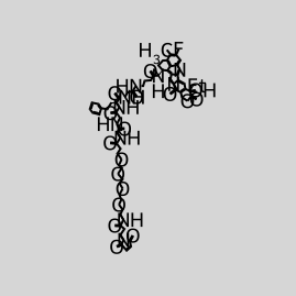 CC[C@@]1(O)C(=O)OCc2c1cc1n(c2=O)Cc2c-1nc1cc(F)c(C)c3c1c2[C@@H](NC(=O)CCCNC(=O)CNC(=O)[C@H](CCc1ccccc1)NC(=O)CNC(=O)CNC(=O)CCOCCOCCOCCOCCNC(=O)CCN1C(=O)C=CC1=O)CC3